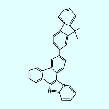 CC1(C)c2ccccc2-c2ccc(-c3ccc4c(c3)c3ccccc3c3nc5ccccn5c43)cc21